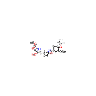 COc1cc(-c2nc3cc(CC[C@](C)(CO)NC(=O)OC(C)(C)C)ccc3o2)ccc1OC1CCCC1